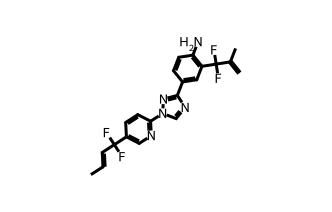 C=C(C)C(F)(F)c1cc(-c2ncn(-c3ccc(C(F)(F)/C=C/C)cn3)n2)ccc1N